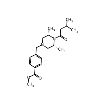 COC(=O)c1ccc(CN2C[C@@H](C)N(C(=O)CC(C)C)[C@@H](C)C2)cc1